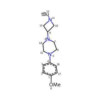 COc1ccc(N2CCN(C3CN(C(C)(C)C)C3)CC2)cc1